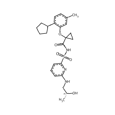 Cc1ccc(C2CCCC2)c(OC2(C(=O)NS(=O)(=O)c3cccc(NC[C@@H](C)O)n3)CC2)c1